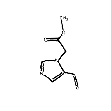 COC(=O)Cn1cncc1C=O